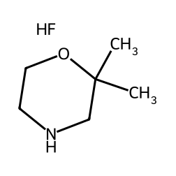 CC1(C)CNCCO1.F